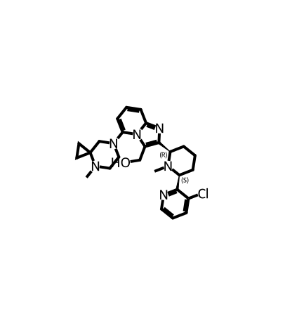 CN1[C@@H](c2nc3cccc(N4CCN(C)C5(CC5)C4)n3c2CO)CCC[C@H]1c1ncccc1Cl